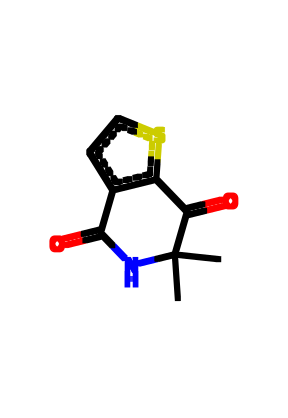 CC1(C)NC(=O)c2ccsc2C1=O